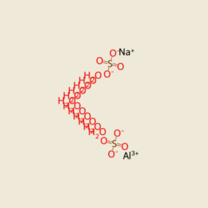 O.O.O.O.O.O.O.O.O.O.O.O.O=S(=O)([O-])[O-].O=S(=O)([O-])[O-].[Al+3].[Na+]